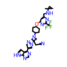 CC1(NCc2cc(OC3CCC(N4CC(CC#N)(n5cc(-c6ncnc7[nH]ccc67)cn5)C4)CC3)nc(C(F)(F)F)n2)CC1